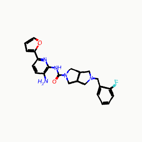 Nc1ccc(-c2ccco2)nc1NC(=O)N1CC2CN(Cc3ccccc3F)CC2C1